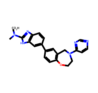 CN(C(=O)O)c1nc2ccc(-c3ccc4c(c3)CN(c3ccncn3)CCO4)cc2[nH]1